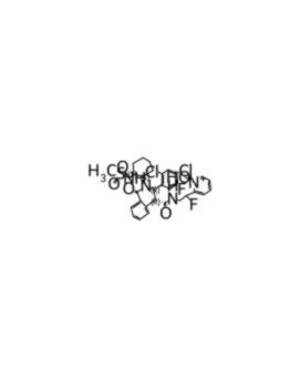 CS(=O)(=O)N[C@H]1CCCC[C@@H]1N1C(=O)c2ccccc2[C@@H](C(=O)NCC(F)(F)c2cccc[n+]2O)[C@@H]1c1ccc(Cl)cc1Cl